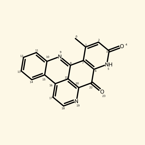 Cc1cc(=O)[nH]c2c1-c1nc3ccccc3c3ccnc(c13)C2=O